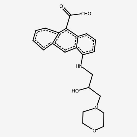 O=CC(=O)c1c2ccccc2cc2c(NCC(O)CN3CCOCC3)cccc12